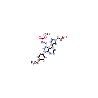 CC(C)(C)OC(=O)NCc1nn(-c2ccc(OC(F)(F)F)cc2)c2nccc(-c3cnn(CCO)c3)c12